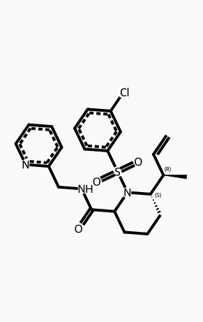 C=C[C@@H](C)[C@@H]1CCCC(C(=O)NCc2ccccn2)N1S(=O)(=O)c1cccc(Cl)c1